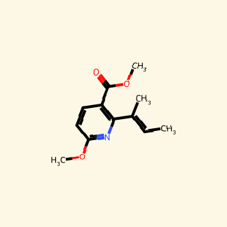 C/C=C(\C)c1nc(OC)ccc1C(=O)OC